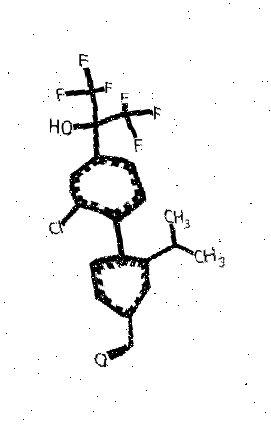 CC(C)c1cc(C=O)ccc1-c1ccc(C(O)(C(F)(F)F)C(F)(F)F)cc1Cl